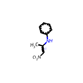 C/C(=C\[N+](=O)[O-])Nc1ccccc1